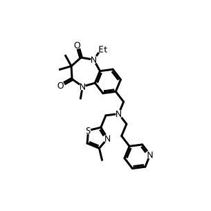 CCN1C(=O)C(C)(C)C(=O)N(C)c2cc(CN(CCc3cccnc3)Cc3nc(C)cs3)ccc21